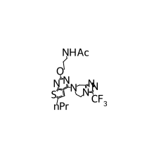 CCCc1cc2c(N3CCn4c(nnc4C(F)(F)F)C3)nc(OCCCNC(C)=O)nc2s1